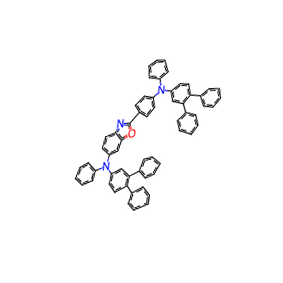 c1ccc(-c2ccc(N(c3ccccc3)c3ccc(-c4nc5ccc(N(c6ccccc6)c6ccc(-c7ccccc7)c(-c7ccccc7)c6)cc5o4)cc3)cc2-c2ccccc2)cc1